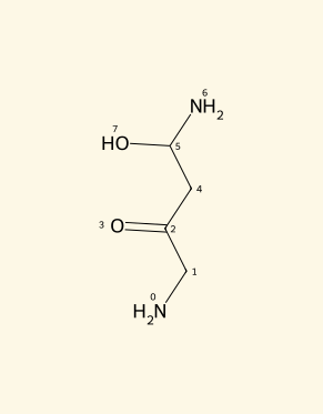 NCC(=O)CC(N)O